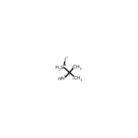 CCCC(C)(C)[SiH2]I